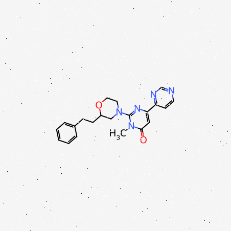 Cn1c(N2CCOC(CCc3ccccc3)C2)nc(-c2ccncn2)cc1=O